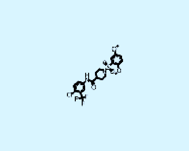 COc1ccc(OC)c(S(=O)(=O)N2CCC(C(=O)Nc3ccc(Cl)c(C(F)(F)F)c3)CC2)c1